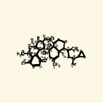 CC(=O)O[C@H]1C(C)=C[C@@H]2[C@H](C(C)CN(C(C)=O)C3CC3)CC[C@@H](C)[C@]2(O)C1[C@H]1[C@@H](C(=O)O)N[C@@H]2ON(C)c3c(Cl)cccc3[C@@]21O